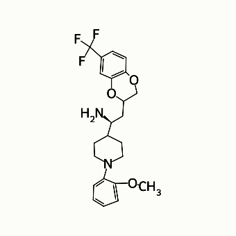 COc1ccccc1N1CCC([C@@H](N)CC2COc3ccc(C(F)(F)F)cc3O2)CC1